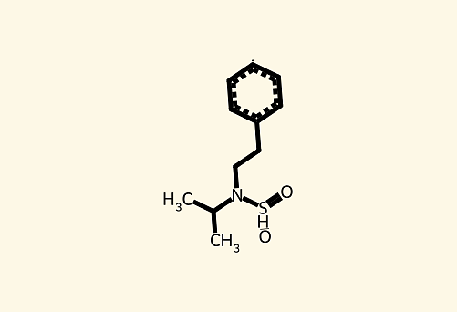 CC(C)N(CCc1cc[c]cc1)[SH](=O)=O